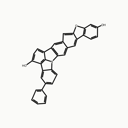 Oc1ccc2c(c1)oc1cc3cc4c5ccc(O)c6c7cc(-c8ccccc8)ccc7n(c4cc3cc12)c56